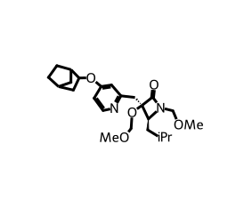 COCO[C@@]1(Cc2cc(OC3CC4CCC3C4)ccn2)C(=O)N(COC)[C@H]1CC(C)C